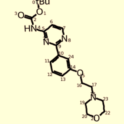 CC(C)(C)OC(=O)Nc1ccnc(-c2cccc(OCCN3CCOCC3)c2)n1